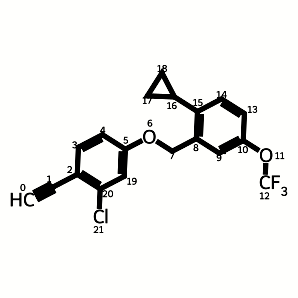 C#Cc1ccc(OCc2[c]c(OC(F)(F)F)ccc2C2CC2)cc1Cl